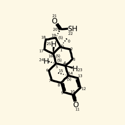 C[C@]12CC[C@H]3[C@@H](CCC4=CC(=O)C=C[C@@]43C)[C@@H]1CC[C@@H]2C(=O)S